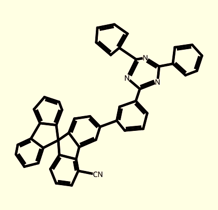 N#Cc1cccc2c1-c1cc(-c3cccc(-c4nc(-c5ccccc5)nc(-c5ccccc5)n4)c3)ccc1C21c2ccccc2-c2ccccc21